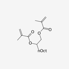 C=C(C)C(=O)OCC(CCCCCCCC)OC(=O)C(=C)C